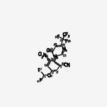 N#Cc1cc(OC(F)F)cc([N+](=O)[O-])c1-n1cnc(C(F)(F)C(F)(F)F)cc1=O